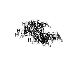 CCCN1C(C)(C)CC(OC(=O)CNCC[N+](CCN(CCN(CC(=O)OC2CC(C)(C)N(CCC)C(C)(C)C2)CC(=O)OC2CC(C)(C)N(CCC)C(C)(C)C2)CC(=O)OC2CC(C)(C)N(CCC)C(C)(C)C2)(CC(=O)OC2CC(C)(C)N(CCC)C(C)(C)C2)CC(=O)OC2CC(C)(C)N(CCC)C(C)(C)C2)CC1(C)C